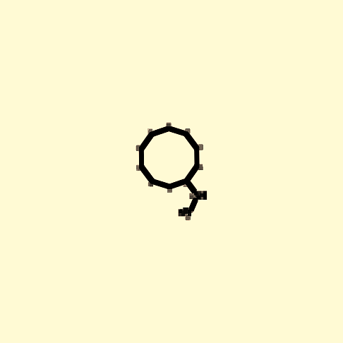 CCCNC1CCCCCCCCC1